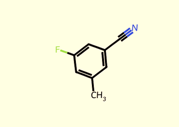 Cc1cc(F)cc(C#N)c1